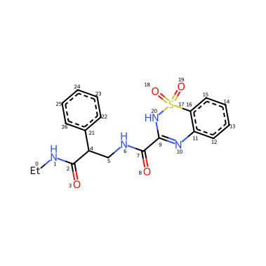 CCNC(=O)C(CNC(=O)C1=Nc2ccccc2S(=O)(=O)N1)c1ccccc1